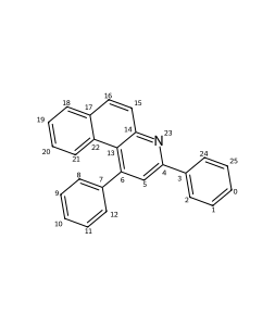 c1ccc(-c2cc(-c3ccccc3)c3c(ccc4ccccc43)n2)cc1